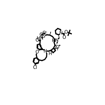 CO[C@]1(CNC[C@H]2CCCCN2C(=O)OC(C)(C)C)/C=C/C[C@H](C)[C@@H](C)S(=O)(=O)NC(=O)c2ccc3c(c2)N(CCCCc2cc(Cl)ccc2CO3)C[C@@H]2CC[C@H]21